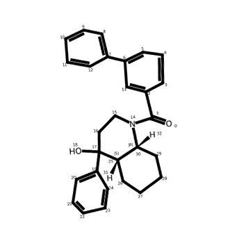 O=C(c1cccc(-c2ccccc2)c1)N1CCC(O)(c2ccccc2)[C@H]2CCCC[C@H]21